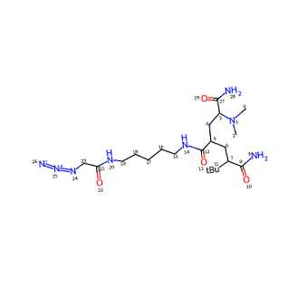 CN(C)C(CC(CC(C(N)=O)C(C)(C)C)C(=O)NCCCCCNC(=O)CN=[N+]=[N-])C(N)=O